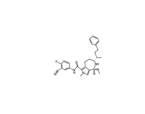 CN=S1(=O)N[C@@H](C(C)CCc2ccccc2)CCc2c1cn(C)c2C(=O)Nc1ccc(F)c(C#N)c1